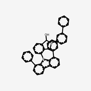 O=C1c2c(cccc2-n2c3c(-c4ccccc4)cccc3c3cccc(-c4ccccc4)c32)C(O)N1c1cccc(-c2ccccc2)c1